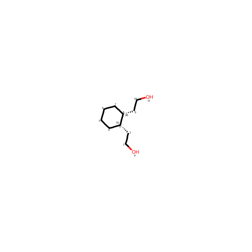 OCC[C@@H]1CCCC[C@@H]1CCO